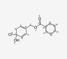 O=C(OCC1=CCC(O)(Cl)C=C1)c1ccccc1